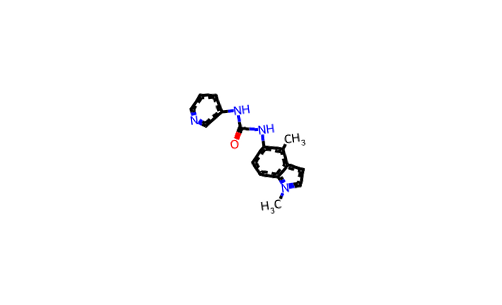 Cc1c(NC(=O)Nc2cccnc2)ccc2c1ccn2C